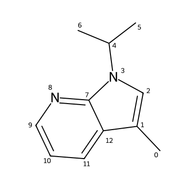 Cc1cn(C(C)C)c2ncccc12